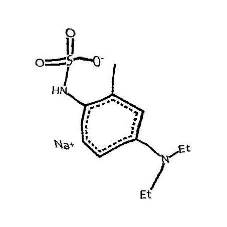 CCN(CC)c1ccc(NS(=O)(=O)[O-])c(C)c1.[Na+]